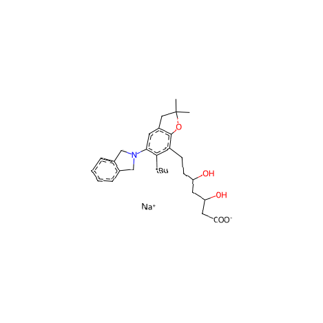 CC1(C)Cc2cc(N3Cc4ccccc4C3)c(C(C)(C)C)c(CCC(O)CC(O)CC(=O)[O-])c2O1.[Na+]